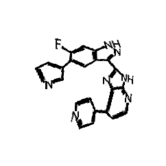 Fc1cc2[nH]nc(-c3nc4c(-c5ccncc5)ccnc4[nH]3)c2cc1-c1cccnc1